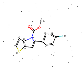 CC(C)(C)OC(=O)n1c(-c2ccc(F)cc2)cc2sccc21